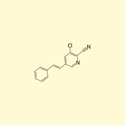 N#Cc1ncc(C=Cc2ccccc2)cc1Cl